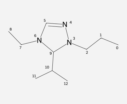 CCCN1N=CN(CC)C1C(C)C